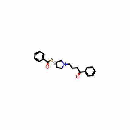 O=C(CCCN1CC[C@H](SC(=O)c2ccccc2)C1)c1ccccc1